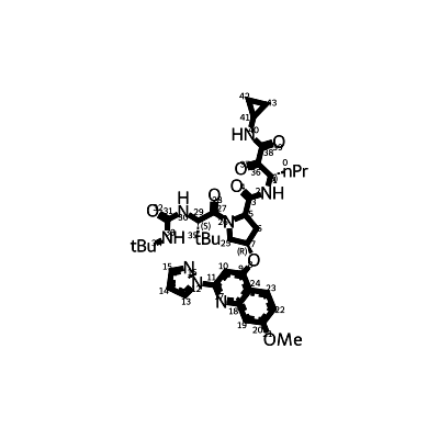 CCC[C@H](NC(=O)C1C[C@@H](Oc2cc(-n3cccn3)nc3cc(OC)ccc23)CN1C(=O)[C@@H](NC(=O)NC(C)(C)C)C(C)(C)C)C(=O)C(=O)NC1CC1